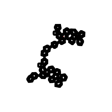 c1ccc(C2(c3ccccc3)c3ccccc3-c3c(N(c4ccc(-c5ccc(-c6ccc7ccc(-c8ccc9c(c8)oc8cccc(-c%10ccccc%10N(c%10ccc(-c%11ccc%12ccccc%12c%11)cc%10)c%10cccc%11c%10-c%10ccccc%10C%11(c%10ccccc%10)c%10ccccc%10)c89)cc7c6)cc5)cc4)c4ccccc4-c4cccc5oc6ccccc6c45)cccc32)cc1